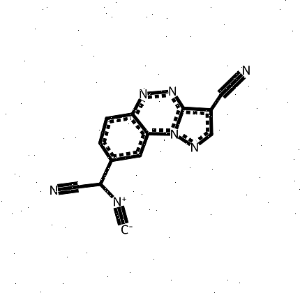 [C-]#[N+]C(C#N)c1ccc2nnc3c(C#N)cnn3c2c1